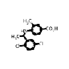 Cc1cc(C(=O)O)ccc1NC(C)c1cc(Cl)ccc1Cl